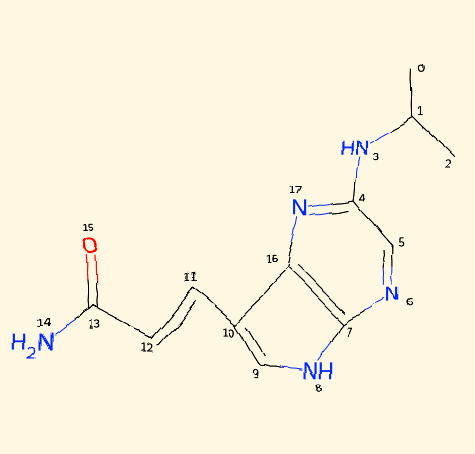 CC(C)Nc1cnc2[nH]cc(C=CC(N)=O)c2n1